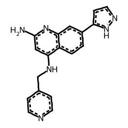 Nc1cc(NCc2ccncc2)c2ccc(-c3ccn[nH]3)cc2n1